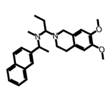 CCC(N1CCc2cc(OC)c(OC)cc2C1)N(C)C(C)c1ccc2ccccc2c1